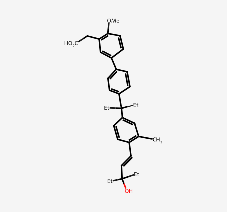 CCC(O)(C=Cc1ccc(C(CC)(CC)c2ccc(-c3ccc(OC)c(CC(=O)O)c3)cc2)cc1C)CC